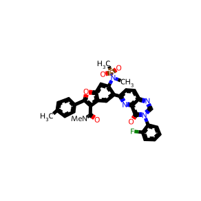 CNC(=O)c1c(-c2ccc(C)cc2)oc2cc(N(C)S(C)(=O)=O)c(-c3ccc4ncn(-c5ccccc5F)c(=O)c4n3)cc12